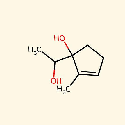 CC1=CCCC1(O)C(C)O